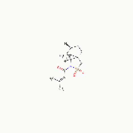 CC(C)=CC(=O)N1[C@H]2C[C@@H]3CC[C@@]2(CS1(=O)=O)C3(C)C